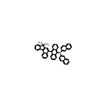 CC1(C)c2ccccc2-c2c1cc(-c1c3ccccc3c(N(c3ccc4ccccc4c3)c3ccc4ccccc4c3)c3ccccc13)c1ccccc21